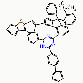 CC1(C)c2ccccc2C2(c3ccc(C4=Cc5sc6ccccc6c5CC4)cc3-c3c(C4=NC(c5ccccc5)NC(c5ccc(-c6ccccc6)cc5)=N4)cccc32)c2ccccc21